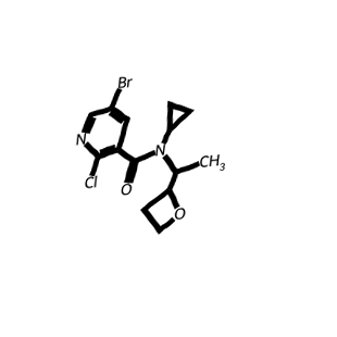 CC(C1CCO1)N(C(=O)c1cc(Br)cnc1Cl)C1CC1